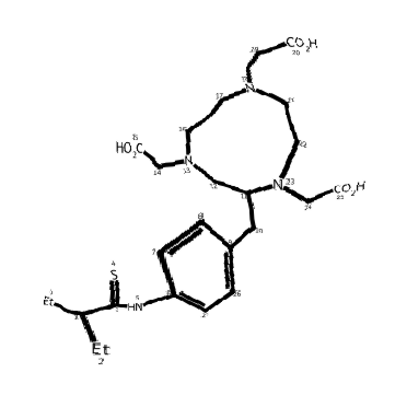 CCC(CC)C(=S)Nc1ccc(CC2CN(CC(=O)O)CCN(CC(=O)O)CCN2CC(=O)O)cc1